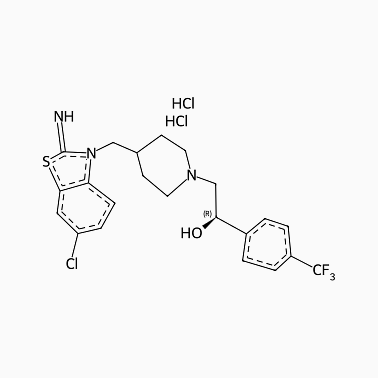 Cl.Cl.N=c1sc2cc(Cl)ccc2n1CC1CCN(C[C@H](O)c2ccc(C(F)(F)F)cc2)CC1